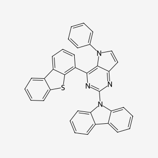 c1ccc(-n2ccc3nc(-n4c5ccccc5c5ccccc54)nc(-c4cccc5c4sc4ccccc45)c32)cc1